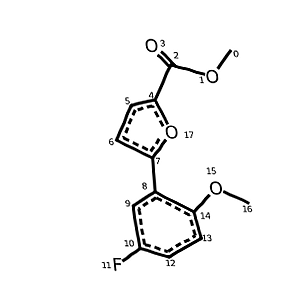 COC(=O)c1ccc(-c2cc(F)ccc2OC)o1